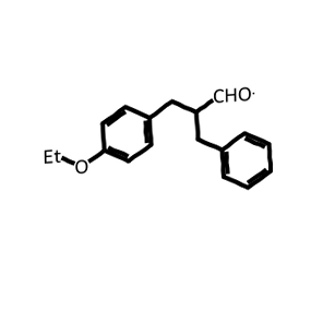 CCOc1ccc(CC([C]=O)Cc2ccccc2)cc1